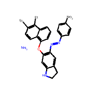 CCc1ccc2c(Oc3cc4c(cc3N=Nc3ccc([N+](=O)[O-])cc3)CCN4)cccc2c1CC.N